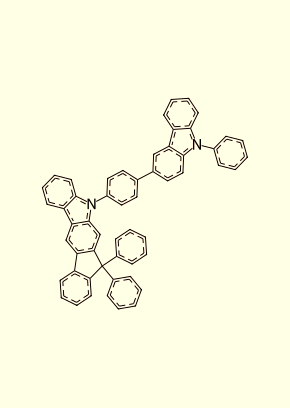 c1ccc(-n2c3ccccc3c3cc(-c4ccc(-n5c6ccccc6c6cc7c(cc65)C(c5ccccc5)(c5ccccc5)c5ccccc5-7)cc4)ccc32)cc1